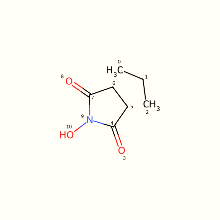 CCC.O=C1CCC(=O)N1O